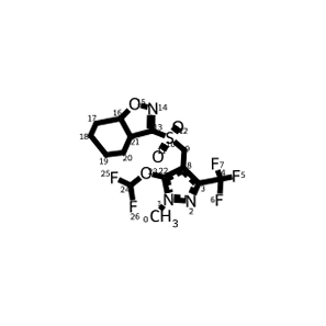 Cn1nc(C(F)(F)F)c(CS(=O)(=O)C2=NOC3CCCCC23)c1OC(F)F